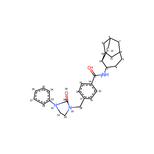 O=C(NC1CCC2CC3CC(C2)C1C3)c1ccc(CN2CCN(c3ccccc3)C2=O)cc1